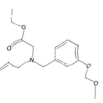 C=CCN(CC(=O)OCC)Cc1cccc(OCOC)c1